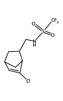 O=S(=O)(NCC1CC2C=C(Cl)C1C2)C(F)(F)F